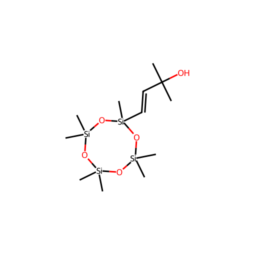 CC(C)(O)/C=C/[Si]1(C)O[Si](C)(C)O[Si](C)(C)O[Si](C)(C)O1